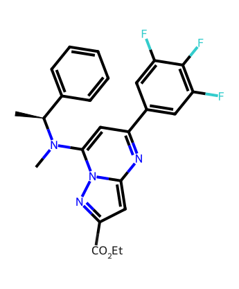 CCOC(=O)c1cc2nc(-c3cc(F)c(F)c(F)c3)cc(N(C)[C@@H](C)c3ccccc3)n2n1